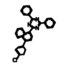 ClC1=CC=C(c2ccc(-c3nc(-c4ccccc4)nc(-c4ccccc4)n3)c3ccccc23)CC1